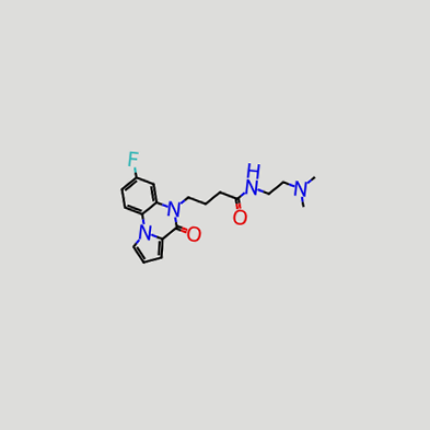 CN(C)CCNC(=O)CCCn1c(=O)c2cccn2c2ccc(F)cc21